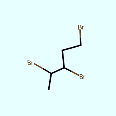 CC(Br)C(Br)CCBr